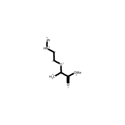 COC(=O)C(C)OCCNC(C)C